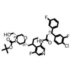 CCC(C[C@@H]1CN(C(=O)OC(C)(C)C)[C@H](CO)CO1)c1c(F)cncc1NC(=O)C[C@H](c1cccc(F)c1)c1ccc(Cl)c(F)c1